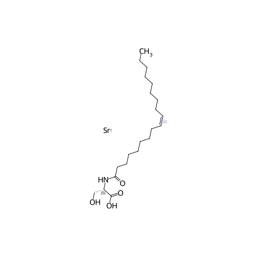 CCCCCCCC/C=C\CCCCCCCC(=O)N[C@@H](CO)C(=O)O.[Sr]